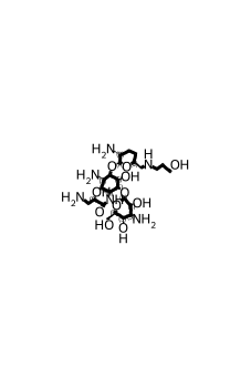 NC[C@H](O)C(=O)N[C@@H]1C[C@H](N)C(O[C@H]2O[C@H](CNCCCO)CC[C@H]2N)[C@H](O)[C@H]1O[C@H]1O[C@H](CO)[C@@H](O)[C@H](N)[C@H]1O